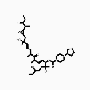 CCC(O)CCC(C)(O)C(/C=C/C(C)C(=O)/C(C)=C/C=C/C(C)(O)CC1OC1C(C)C(O)CC)OC(=O)N1CCN(C2CCCC2)CC1